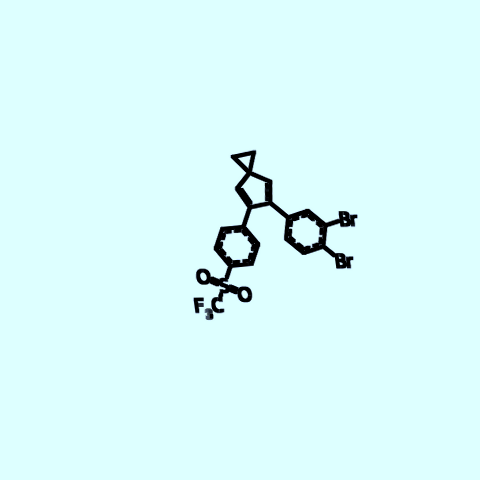 O=S(=O)(c1ccc(C2=CC3(C=C2c2ccc(Br)c(Br)c2)CC3)cc1)C(F)(F)F